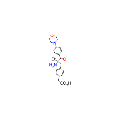 CCC(N)(Cc1ccc(CC(=O)O)cc1)C(=O)c1ccc(N2CCOCC2)cc1